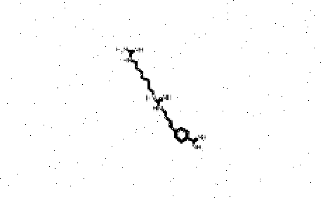 N=C(N)NCCCCCCCNC(=N)NCCC=Cc1ccc(C(=N)N)cc1